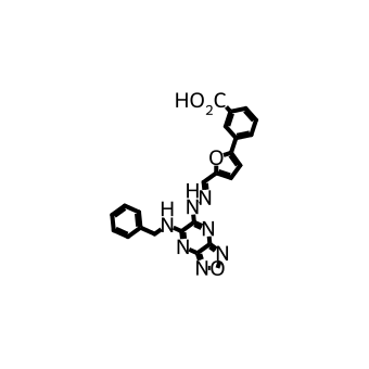 O=C(O)c1cccc(-c2ccc(C=NNc3nc4nonc4nc3NCc3ccccc3)o2)c1